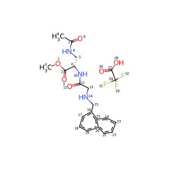 COC(=O)[C@H](CNC(C)=O)NC(=O)CNCc1cccc2ccccc12.O=C(O)C(F)(F)F